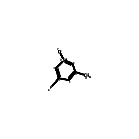 Cc1cc(F)c[n+]([O-])c1